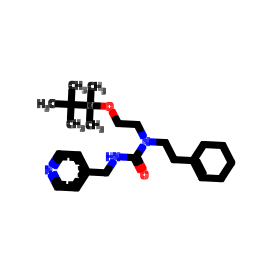 CC(C)(C)[Si](C)(C)OCCN(CCC1=CCCCC1)C(=O)NCc1ccncc1